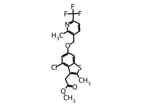 COC(=O)Cc1c(C)sc2cc(OCc3ccc(C(F)(F)F)nc3C)cc(Cl)c12